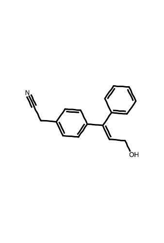 N#CCc1ccc(C(=CCO)c2ccccc2)cc1